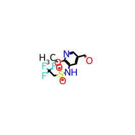 COc1ncc(C=O)cc1NS(=O)(=O)CC(F)(F)F